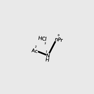 CCCNC(C)=O.Cl